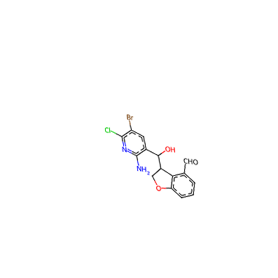 Nc1nc(Cl)c(Br)cc1C(O)C1COc2cccc(C=O)c21